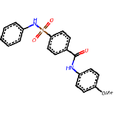 COc1ccc(NC(=O)c2ccc(S(=O)(=O)Nc3ccccc3)cc2)cc1